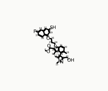 COC(=O)c1c(C)c2c(-c3c(CO)nn(C)c3C)c(C)ccc2n1CCCOc1cc(S)cc2cc(F)ccc12